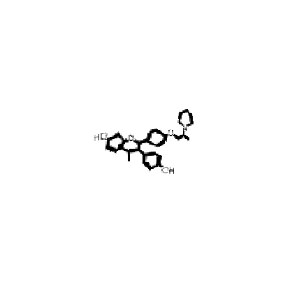 CC1=C(c2ccc(O)cc2)C(c2ccc(OCC(C)N3CCCCC3)cc2)Oc2cc(O)ccc21